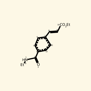 CCNC(=O)c1ccc(C=CC(=O)OCC)cc1